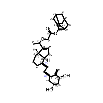 C=C1/C(=C\C=C2/CCC[C@]3(C)C(C(C)OCC(=O)OC4C5CC6CC(C5)CC4C6)=CC[C@@H]23)C[C@@H](O)C[C@@H]1O